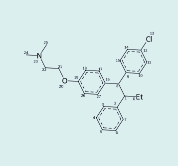 CCC(c1ccccc1)C(c1ccc(Cl)cc1)c1ccc(OCCN(C)C)cc1